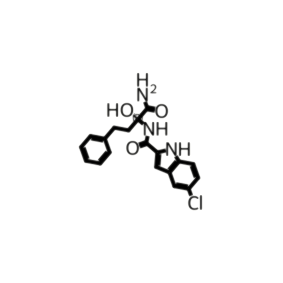 NC(=O)[C@](O)(CCc1ccccc1)NC(=O)c1cc2cc(Cl)ccc2[nH]1